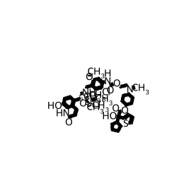 COc1cc(NC(=O)OCCN(C)[C@H]2CC[C@H](OC(=O)[C@](O)(c3cccs3)C3CCCC3)CC2)c(Cl)cc1CNC[C@H](O[Si](C)(C)C(C)(C)C)c1ccc(O)c2[nH]c(=O)ccc12